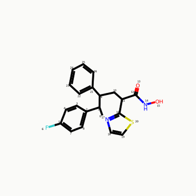 CC(c1ccc(F)cc1)C(CC(C(=O)NO)c1nccs1)c1ccccc1